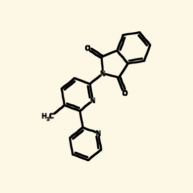 Cc1ccc(N2C(=O)c3ccccc3C2=O)nc1-c1ccccn1